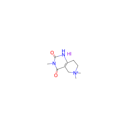 Cn1c(=O)[nH]c2c(c1=O)C[N+](C)(C)CC2.I